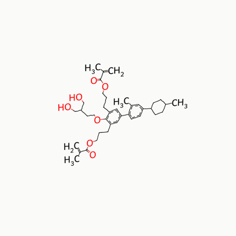 C=C(C)C(=O)OCCCc1cc(-c2ccc(C3CCC(C)CC3)cc2C)cc(CCCOC(=O)C(=C)C)c1OCCC(CO)CO